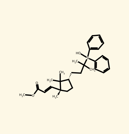 COC(=O)/C=C/[C@@]1(C)CC[C@@H](CCC(C)(C)[Si](O)(c2ccccc2)c2ccccc2)C1(C)C